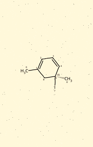 CC1=CC=C[C@@](C)(I)C1